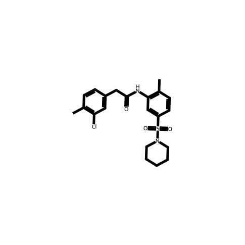 Cc1ccc(CC(=O)Nc2cc(S(=O)(=O)N3CCCCC3)ccc2C)cc1Cl